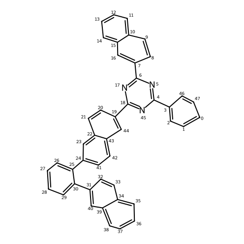 c1ccc(-c2nc(-c3ccc4ccccc4c3)nc(-c3ccc4cc(-c5ccccc5-c5ccc6ccccc6c5)ccc4c3)n2)cc1